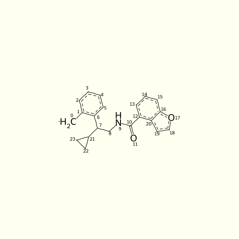 [CH2]c1ccccc1C(CNC(=O)c1cccc2occc12)C1CC1